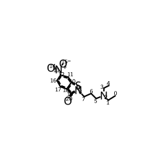 CCN(CC)CCCn1sc2cc([N+](=O)[O-])ccc2c1=O